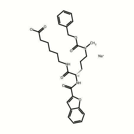 CN(CCC[C@H](NC(=O)c1cc2ccccc2o1)C(=O)NCCCCCC(=O)[O-])C(=O)OCc1ccccc1.[Na+]